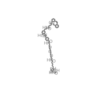 O=C(CCCC[C@@H]1SC[C@@H]2NC(=O)N[C@@H]21)NCCOCCOCCOCCNC(=O)c1ccc(N=Nc2cc(CCNC(=O)CCC(=O)N3Cc4ccccc4C#Cc4ccccc43)ccc2O)cc1